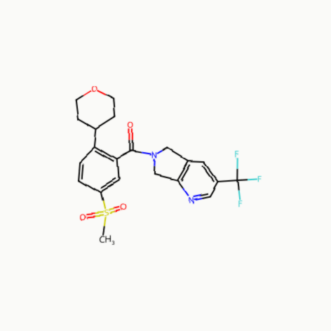 CS(=O)(=O)c1ccc(C2CCOCC2)c(C(=O)N2Cc3cc(C(F)(F)F)cnc3C2)c1